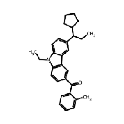 CCC(c1ccc2c(c1)c1cc(C(=O)c3ccccc3C)ccc1n2CC)C1CCCC1